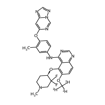 [2H]C([2H])([2H])Oc1ccc2ncnc(Nc3ccc(Oc4cc5ncnn5cn4)c(C)c3)c2c1O[C@@H]1CCN(C)CC1(F)F